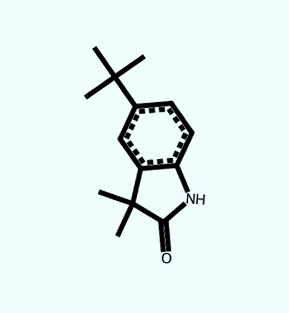 CC(C)(C)c1ccc2c(c1)C(C)(C)C(=O)N2